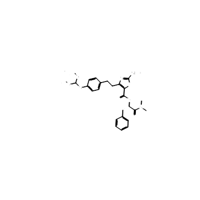 CC(=O)Nc1nc(CCc2ccc(NC(NC(=O)O)NC(=O)O)cc2)c(C(=O)N[C@@H](Cc2ccccc2)C(=O)N(C)C)s1